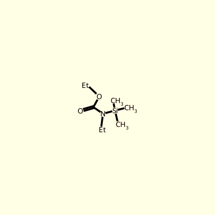 CCOC(=O)N(CC)[Si](C)(C)C